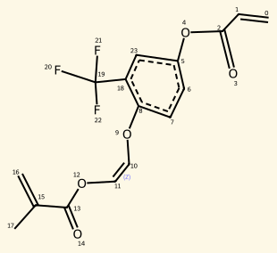 C=CC(=O)Oc1ccc(O/C=C\OC(=O)C(=C)C)c(C(F)(F)F)c1